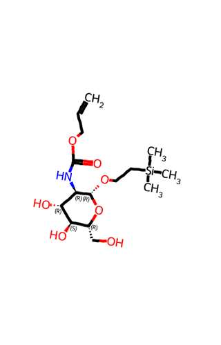 C=CCOC(=O)N[C@H]1[C@H](OCC[Si](C)(C)C)O[C@H](CO)[C@@H](O)[C@@H]1O